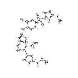 CCOC(C)n1cc(-c2ncn3nc(Nc4ccc(S(=O)(=O)c5ccc(CO)o5)cc4F)nc3c2OC(C)C)cn1